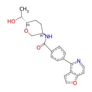 CC(O)[C@@H]1CC[C@@H](NC(=O)c2ccc(-c3nccc4occc34)cc2)CO1